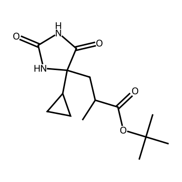 CC(CC1(C2CC2)NC(=O)NC1=O)C(=O)OC(C)(C)C